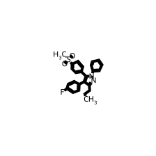 CCCc1nn(-c2ccccc2)c(-c2ccc(S(C)(=O)=O)cc2)c1-c1ccc(F)cc1